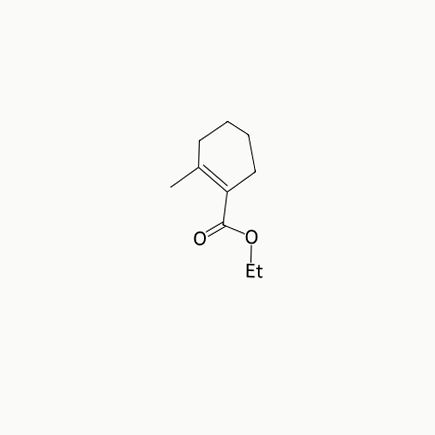 CCOC(=O)C1=C(C)CCCC1